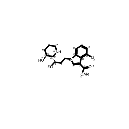 CCC(CCn1cc(C(=O)OC)c2c(Cl)cccc21)[C@H]1NCCC[C@@H]1O